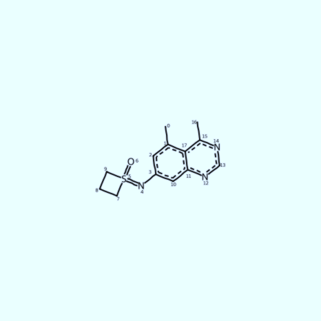 Cc1cc(N=S2(=O)CCC2)cc2ncnc(C)c12